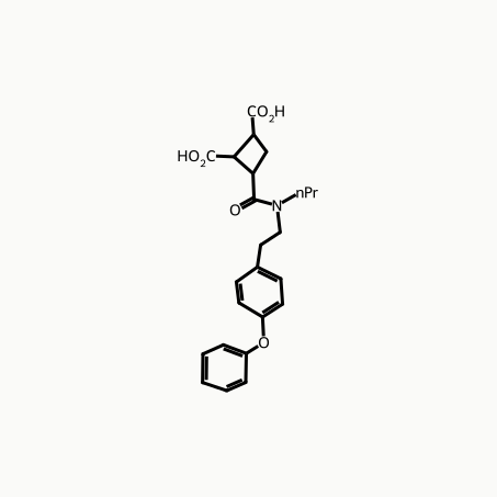 CCCN(CCc1ccc(Oc2ccccc2)cc1)C(=O)C1CC(C(=O)O)C1C(=O)O